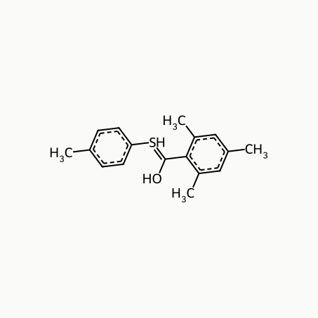 Cc1ccc([SH]=C(O)c2c(C)cc(C)cc2C)cc1